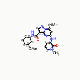 CNc1cc(Nc2cccn(C)c2=O)nc2c(C(=O)NC3CCC[C@H](OC)C3)cnn12